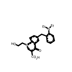 CCN(CC)c1ccccc1Cc1ccc2c(c1)c(=O)c(C(=O)O)cn2CCO